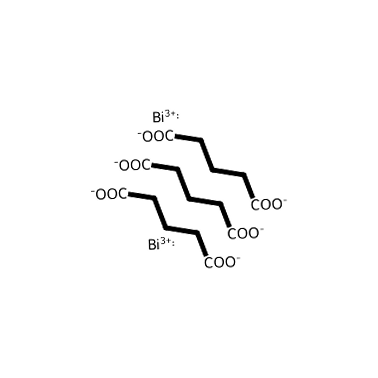 O=C([O-])CCCC(=O)[O-].O=C([O-])CCCC(=O)[O-].O=C([O-])CCCC(=O)[O-].[Bi+3].[Bi+3]